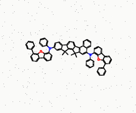 CC1(C)c2cc(N(c3ccccc3)c3cccc4c3oc3c(-c5ccccc5)cccc34)ccc2-c2ccc3c(c21)C(C)(C)c1cc(N(c2ccccc2)c2cccc4c2oc2c(-c5ccccc5)cccc24)c2ccccc2c1-3